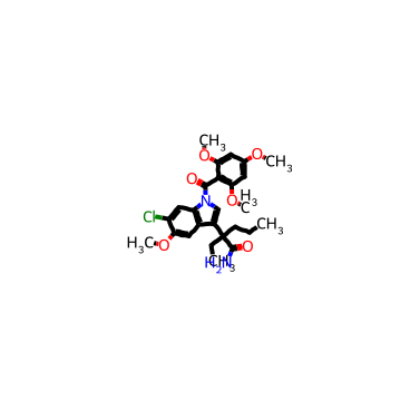 CCCC(CC)(C(N)=O)c1cn(C(=O)c2c(OC)cc(OC)cc2OC)c2cc(Cl)c(OC)cc12